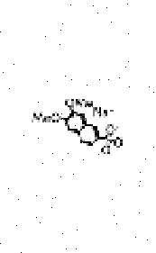 COc1cc2ccc(S(=O)(=O)[O-])cc2cc1OC.[Na+]